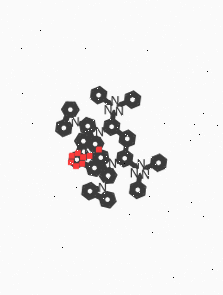 c1ccc(-c2nc(-c3ccccc3)nc(-c3cc(-c4cccc(-c5cc(-c6nc(-c7ccccc7)nc(-c7ccccc7)n6)cc(-n6c7ccc(-n8c9ccccc9c9ccccc98)cc7c7cc(-n8c9ccccc9c9ccccc98)ccc76)c5)c4)cc(-n4c5ccc(-n6c7ccccc7c7ccccc76)cc5c5cc(-n6c7ccccc7c7ccccc76)ccc54)c3)n2)cc1